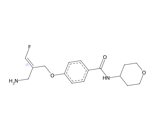 NC/C(=C/F)COc1ccc(C(=O)NC2CCOCC2)cc1